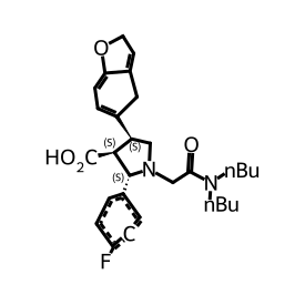 CCCCN(CCCC)C(=O)CN1C[C@H](C2=CC=C3OCC=C3C2)[C@H](C(=O)O)[C@H]1c1ccc(F)cc1